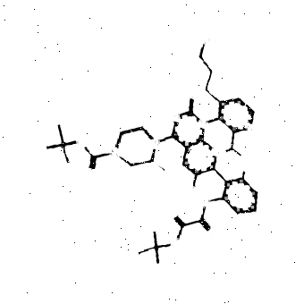 CC(C)c1nccc(CCCO)c1-n1c(=O)nc(N2CCN(C(=O)OC(C)(C)C)C[C@@H]2C)c2cc(F)c(-c3c(F)cccc3NC(=O)C(=O)OC(C)(C)C)nc21